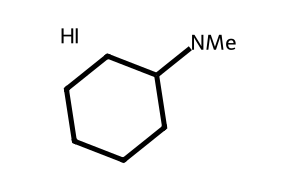 CNC1CCCCC1.I